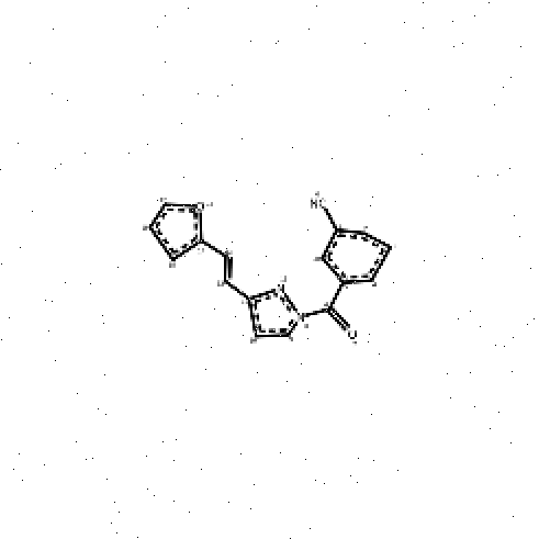 N#Cc1cccc(C(=O)n2ccc(C=Cc3ccco3)n2)c1